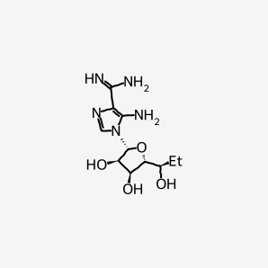 CC[C@@H](O)[C@H]1O[C@@H](n2cnc(C(=N)N)c2N)[C@H](O)[C@@H]1O